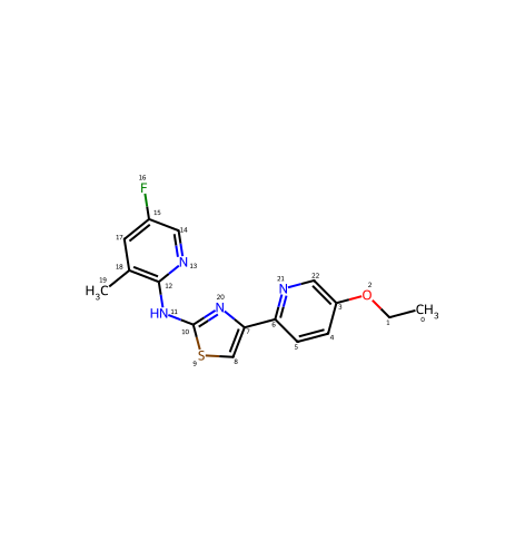 CCOc1ccc(-c2csc(Nc3ncc(F)cc3C)n2)nc1